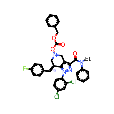 CCN(C(=O)c1nn(-c2ccc(Cl)cc2Cl)c2c1CN(OC(=O)OCc1ccccc1)C/C2=C\c1ccc(F)cc1)c1ccccc1